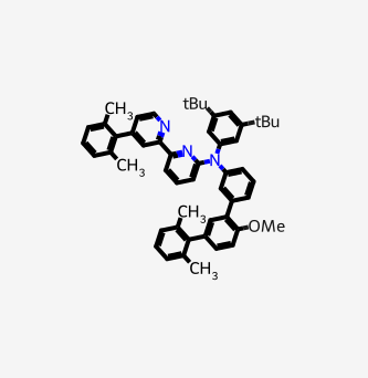 COc1ccc(-c2c(C)cccc2C)cc1-c1cccc(N(c2cc(C(C)(C)C)cc(C(C)(C)C)c2)c2cccc(-c3cc(-c4c(C)cccc4C)ccn3)n2)c1